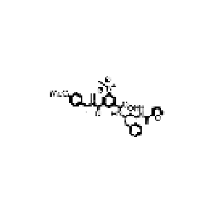 COc1ccc([C@@H](C)NC(=O)c2cc(C(=O)N[C@@H](Cc3ccccc3)[C@H](O)CNC(C)c3ccco3)cc(N(C)S(C)(=O)=O)c2)cc1